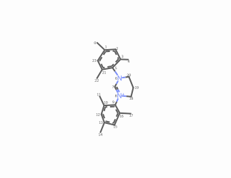 Cc1cc(C)c(N2C=[N+](c3c(C)cc(C)cc3C)CCC2)c(C)c1